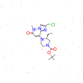 CC[C@H]1CN(C(=O)OC(C)(C)C)[C@H](C)CN1c1cc(=O)n(C)n2cc(CCl)nc12